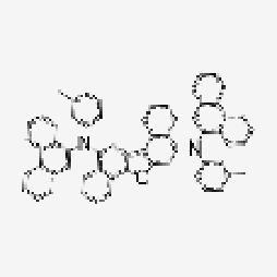 Cc1cccc(N(c2cc3ccccc3c3ccccc23)c2cc3c(oc4cc(N(c5cccc(C)c5)c5cc6ccccc6c6ccccc56)c5ccccc5c43)c3ccccc23)c1